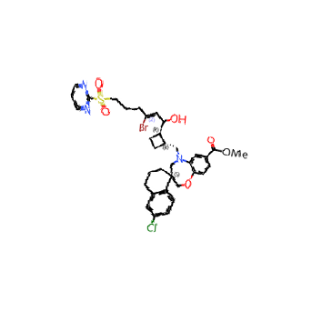 COC(=O)c1ccc2c(c1)N(C[C@@H]1CC[C@H]1C(O)/C=C(\Br)CCCS(=O)(=O)c1ncccn1)C[C@@]1(CCCc3cc(Cl)ccc31)CO2